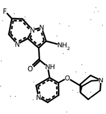 Nc1nn2cc(F)cnc2c1C(=O)Nc1cnccc1OC1CN2CCC1CC2